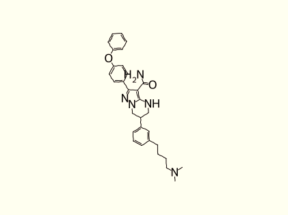 CN(C)CCCCc1cccc(C2CNc3c(C(N)=O)c(-c4ccc(Oc5ccccc5)cc4)nn3C2)c1